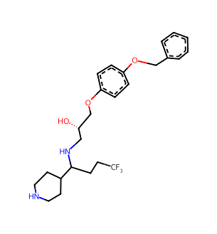 O[C@@H](CNC(CCC(F)(F)F)C1CCNCC1)COc1ccc(OCc2ccccc2)cc1